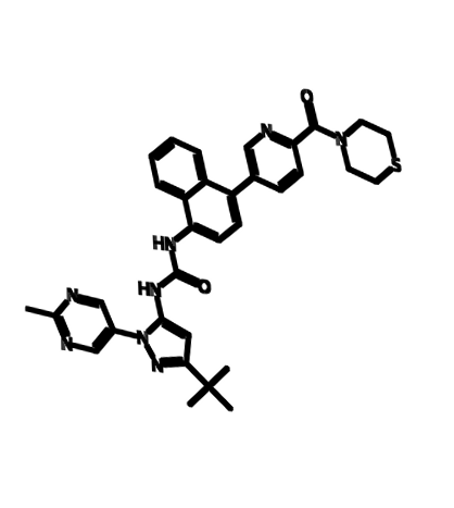 Cc1ncc(-n2nc(C(C)(C)C)cc2NC(=O)Nc2ccc(-c3ccc(C(=O)N4CCSCC4)nc3)c3ccccc23)cn1